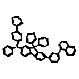 c1ccc(-c2ccc(N(c3ccccc3)c3ccc4c(c3)C(c3ccccc3)(c3ccccc3)c3cc(-c5cccc(-c6cccc7ccccc67)c5)ccc3-4)cc2)cc1